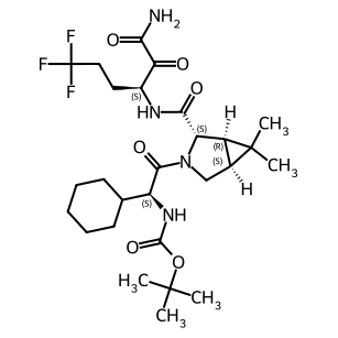 CC(C)(C)OC(=O)N[C@H](C(=O)N1C[C@H]2[C@@H]([C@H]1C(=O)N[C@@H](CCC(F)(F)F)C(=O)C(N)=O)C2(C)C)C1CCCCC1